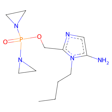 CCCCn1c(N)cnc1COP(=O)(N1CC1)N1CC1